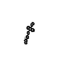 c1ccc2cc(-c3c4ccccc4c(-c4ccc(-c5ccc6c(c5)oc5cc7ccccc7cc56)cc4)c4ccccc34)ccc2c1